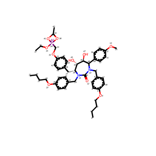 CCCCOc1ccc(CN2C(=O)N(Cc3ccc(OCCCC)cc3)[C@H](Cc3ccc(OC[PH]4(OCC)OC(C)O4)cc3)[C@H](O)[C@@H](O)C2c2ccc(OC)cc2)cc1